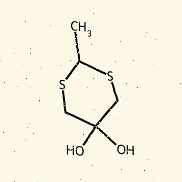 CC1SCC(O)(O)CS1